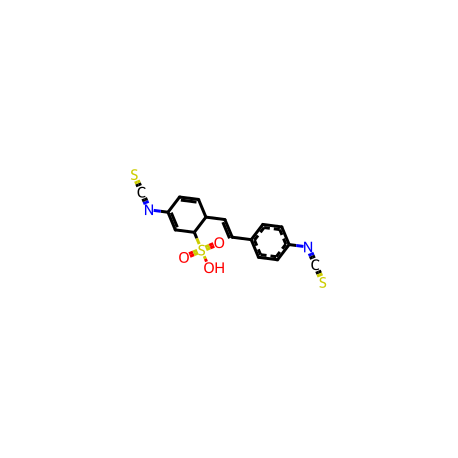 O=S(=O)(O)C1C=C(N=C=S)C=CC1C=Cc1ccc(N=C=S)cc1